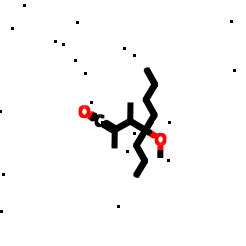 CCCCC(CCC)(OC)C(C)C(C)=C=O